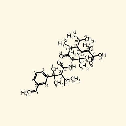 C=Cc1cccc(C(C)(C)[C@H](NC)C(=O)N[C@H](C(=O)N(C)[C@H](/C=C(\C)C(=O)O)C(C)C)C(C)(C)C)c1